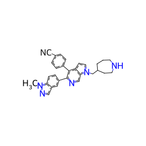 Cn1ncc2cc(-c3ncc4c(ccn4CC4CCCNCC4)c3-c3ccc(C#N)cc3)ccc21